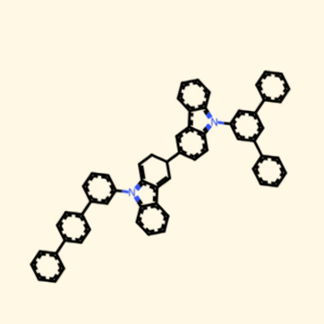 C1=c2c(n(-c3cccc(-c4ccc(-c5ccccc5)cc4)c3)c3ccccc23)=CCC1c1ccc2c(c1)c1ccccc1n2-c1cc(-c2ccccc2)cc(-c2ccccc2)c1